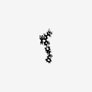 Cn1cc(-c2cc(-c3ccc(N4CCC5(CC4)CN(C(=O)CC4CCCCC4)C5)nc3)c3c(C#N)cnn3c2)cn1